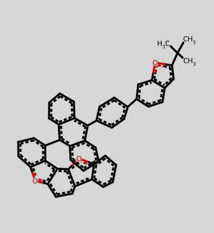 CC(C)(C)c1cc2ccc(-c3ccc(-c4c5ccccc5c(-c5cccc6oc7ccc8c9ccccc9oc8c7c56)c5ccccc45)cc3)cc2o1